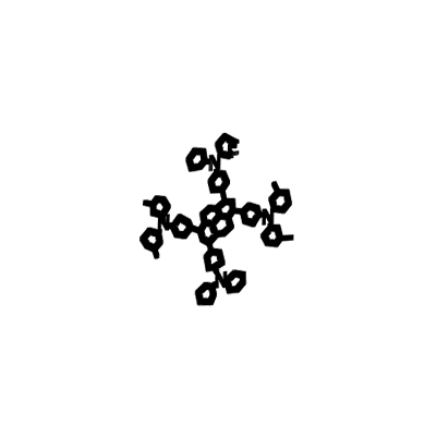 Cc1cccc(N(c2ccc(-c3cc(-c4ccc(N(c5ccccc5)c5ccccc5)cc4)c4ccc5c(-c6ccc(N(c7cccc(C)c7)c7cccc(C)c7)cc6)cc(-c6ccc(N(c7ccccc7)c7ccccc7)cc6)c6ccc3c4c65)cc2)c2cccc(C)c2)c1